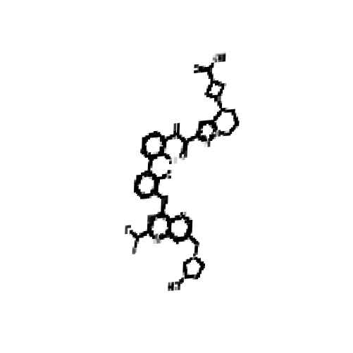 O=C(Nc1cccc(-c2cccc(Nc3nc(C(F)F)nc4cc(CN5CC[C@@H](O)C5)cnc34)c2Cl)c1Cl)c1cc2n(n1)CCC[C@@H]2N1CC(C(=O)O)C1